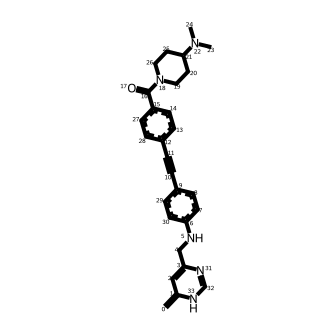 C=C1C=C(CNc2ccc(C#Cc3ccc(C(=O)N4CCC(N(C)C)CC4)cc3)cc2)N=CN1